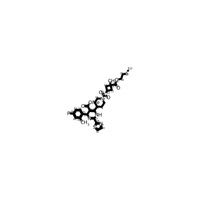 COC(=O)C1=C(C2CCN(S(=O)(=O)C3CC(C)(C(=O)OCCSI)C3)CC2)NC(c2nccs2)=NC1c1ccc(F)cc1C